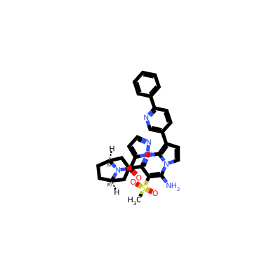 CS(=O)(=O)c1c(C2C[C@H]3CC[C@@H](C2)N3C(=O)c2ccn[nH]2)nc2c(-c3ccc(-c4ccccc4)nc3)ccn2c1N